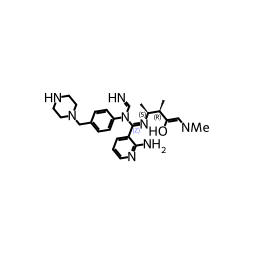 CNC=C(O)[C@H](C)[C@H](C)/N=C(/c1cccnc1N)N(C=N)c1ccc(CN2CCNCC2)cc1